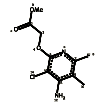 COC(=O)COc1nc(F)c(C)c(N)c1Cl